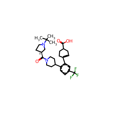 CC(C)(C)N1CC[C@H](C(=O)N2CCC(c3ccc(C(F)(F)F)cc3C3=CCC(C(=O)O)CC3)CC2)C1